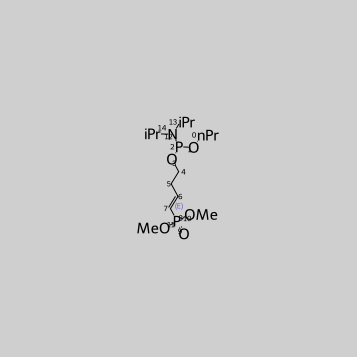 CCCOP(OCC/C=C/P(=O)(OC)OC)N(C(C)C)C(C)C